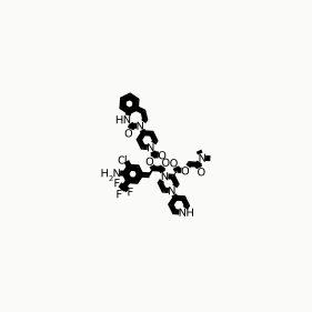 CN(C)C(=O)COC(=O)[C@@H]1CN(C2CCNCC2)CCN1C(=O)[C@@H](Cc1cc(Cl)c(N)c(C(F)(F)F)c1)OC(=O)N1CCC(N2CCc3ccccc3NC2=O)CC1